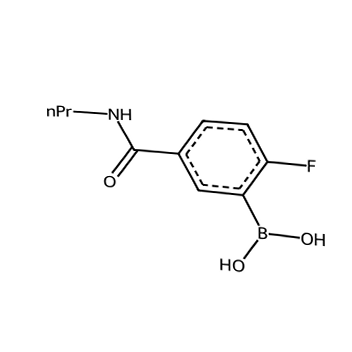 CCCNC(=O)c1ccc(F)c(B(O)O)c1